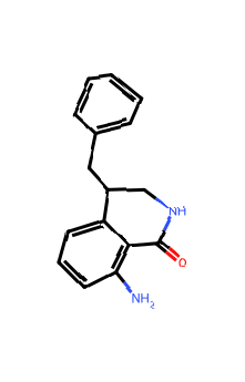 Nc1cccc2c1C(=O)NCC2Cc1ccccc1